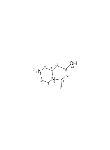 CC(C)N1CCN(C)CC1CCO